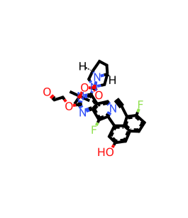 C#Cc1c(F)ccc2cc(O)cc(-c3ncc4c(N5C[C@H]6CC[C@@H](C5)N6C(=O)OC(C)(C)C)nc(OCC=O)nc4c3F)c12